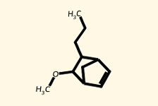 CCCC1C2C=CC(C2)C1OC